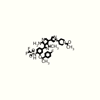 CC(=O)N1CCC(n2cc(-c3cnc(N)c4c(-c5ccc(NS(=O)(=O)C(F)F)c(O[C@@H](C)c6ccc(F)cc6)c5)nn(C)c34)cn2)CC1